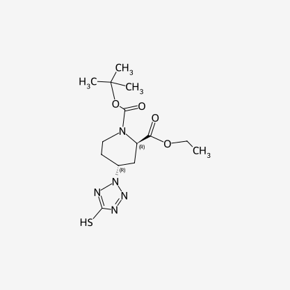 CCOC(=O)[C@H]1C[C@H](n2nnc(S)n2)CCN1C(=O)OC(C)(C)C